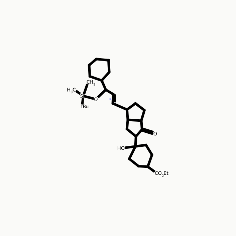 CCOC(=O)C1CCC(O)(C2CC3C(/C=C/C(O[Si](C)(C)C(C)(C)C)C4CCCCC4)CCC3C2=O)CC1